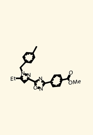 CCc1cc(-c2nc(-c3ccc(C(=O)OC)cc3)no2)nn1Cc1ccc(C)cc1